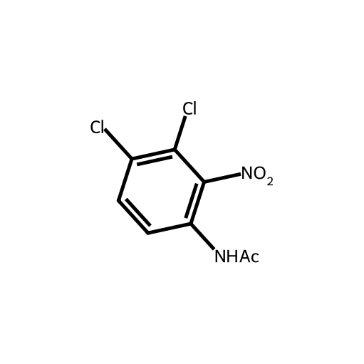 CC(=O)Nc1ccc(Cl)c(Cl)c1[N+](=O)[O-]